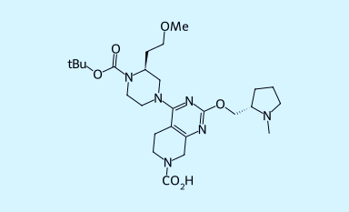 COCC[C@H]1CN(c2nc(OC[C@@H]3CCCN3C)nc3c2CCN(C(=O)O)C3)CCN1C(=O)OC(C)(C)C